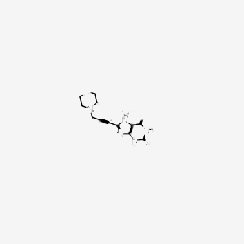 Cn1c(=O)c2c(nc(C#CCN3CCOCC3)n2C)n(C)c1=O